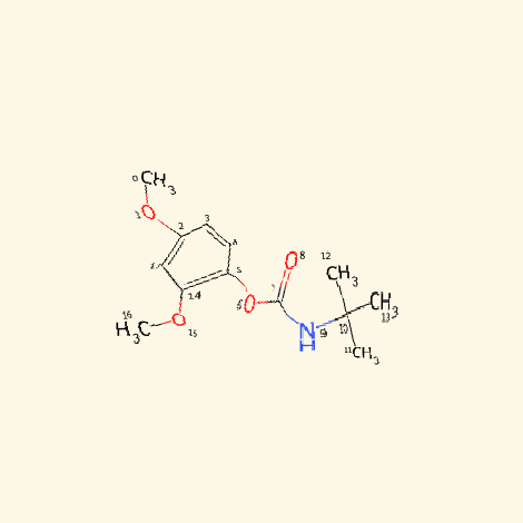 COc1ccc(OC(=O)NC(C)(C)C)c(OC)c1